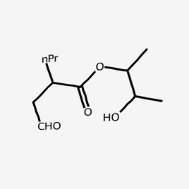 CCCC(CC=O)C(=O)OC(C)C(C)O